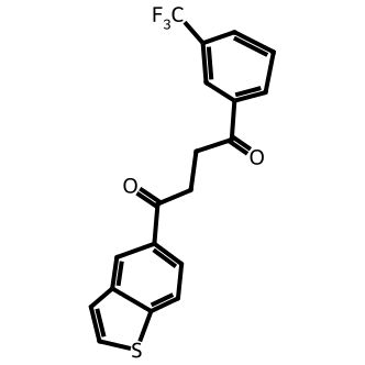 O=C(CCC(=O)c1ccc2sccc2c1)c1cccc(C(F)(F)F)c1